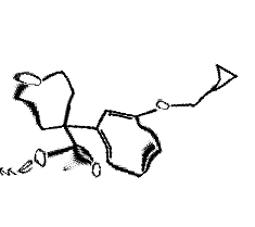 COC(=O)C1(c2cccc(OCC3CC3)c2)CCOCC1